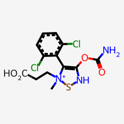 C[N+]1(CCC(=O)O)SNC(OC(N)=O)=C1c1c(Cl)cccc1Cl